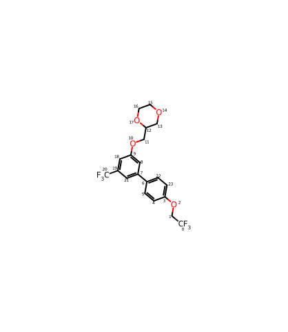 FC(F)(F)COc1ccc(-c2cc(OCC3COCCO3)cc(C(F)(F)F)c2)cc1